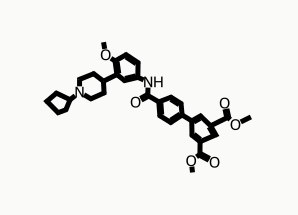 COC(=O)c1cc(C(=O)OC)cc(-c2ccc(C(=O)Nc3ccc(OC)c(C4CCN(C5CCCC5)CC4)c3)cc2)c1